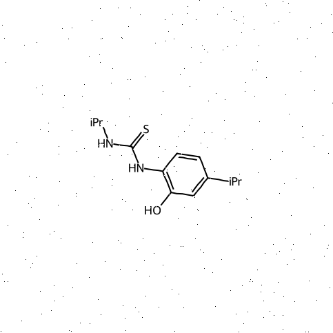 CC(C)NC(=S)Nc1ccc(C(C)C)cc1O